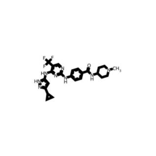 CN1CCC(NC(=O)c2ccc(Nc3ncc(C(F)(F)F)c(Nc4cc(C5CC5)n[nH]4)n3)cc2)CC1